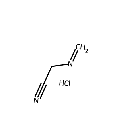 C=NCC#N.Cl